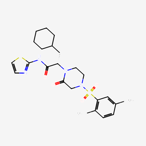 COc1ccc(OC)c(S(=O)(=O)N2CCN([C@@H](CC3CCCCC3)C(=O)Nc3nccs3)C(=O)C2)c1